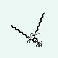 CCCCCCCCCCNC(=O)[C@@H]1CN(C(=O)O)C[C@H]1C(=O)NCCCCCCCCCC